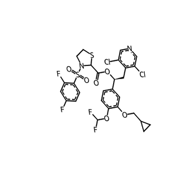 O=C(O[C@@H](Cc1c(Cl)cncc1Cl)c1ccc(OC(F)F)c(OCC2CC2)c1)C1SCCN1S(=O)(=O)c1ccc(F)cc1F